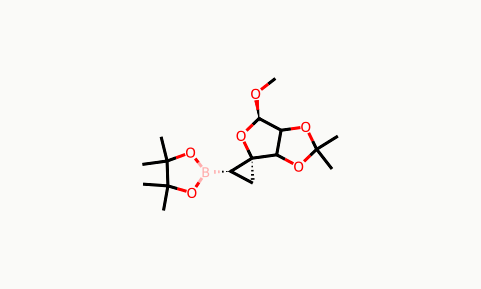 CO[C@@H]1O[C@@]2(C[C@@H]2B2OC(C)(C)C(C)(C)O2)C2OC(C)(C)OC21